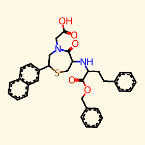 O=C(O)CN1CC(c2ccc3ccccc3c2)SCC(NC(CCc2ccccc2)C(=O)OCc2ccccc2)C1=O